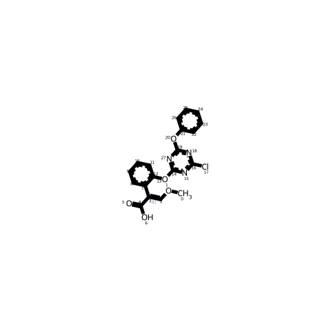 CO/C=C(/C(=O)O)c1ccccc1Oc1nc(Cl)nc(Oc2ccccc2)n1